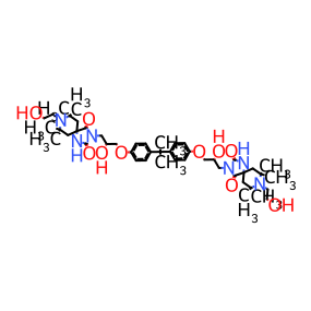 CC(C)(c1ccc(OCC(O)CN2C(=O)NC3(CC(C)(C)N(CCO)C(C)(C)C3)C2=O)cc1)c1ccc(OCC(O)CN2C(=O)NC3(CC(C)(C)N(CCO)C(C)(C)C3)C2=O)cc1